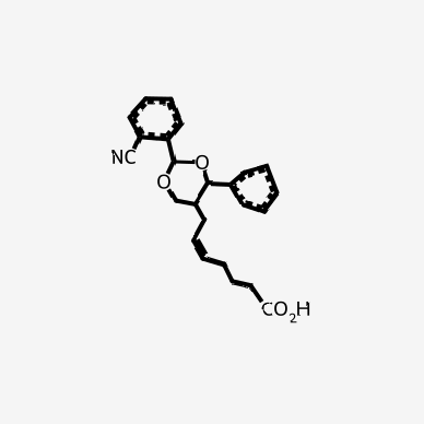 N#Cc1ccccc1C1OCC(C/C=C\CCCC(=O)O)C(c2ccccc2)O1